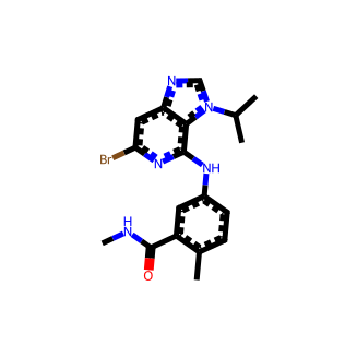 CNC(=O)c1cc(Nc2nc(Br)cc3ncn(C(C)C)c23)ccc1C